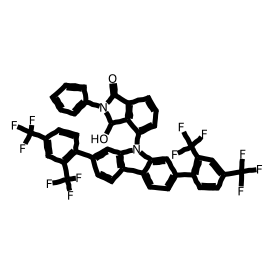 O=C1c2cccc(-n3c4cc(-c5ccc(C(F)(F)F)cc5C(F)(F)F)ccc4c4ccc(-c5ccc(C(F)(F)F)cc5C(F)(F)F)cc43)c2C(O)N1c1ccccc1